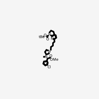 COC(=O)C(c1cccc(Cl)c1)N(C)[C@H]1CCN(CCCCCc2ccc3c(n2)N(C(=O)OC(C)(C)C)CCC3)C1